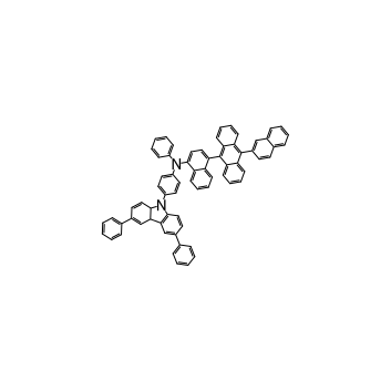 C1=CC2C(C=C1c1ccccc1)c1cc(-c3ccccc3)ccc1N2c1ccc(N(c2ccccc2)c2ccc(-c3c4ccccc4c(-c4ccc5ccccc5c4)c4ccccc34)c3ccccc23)cc1